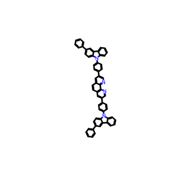 c1ccc(-c2ccc3c(c2)c2ccccc2n3-c2ccc(-c3cnc4c(ccc5cc(-c6ccc(-n7c8ccccc8c8cc(-c9ccccc9)ccc87)cc6)cnc54)c3)cc2)cc1